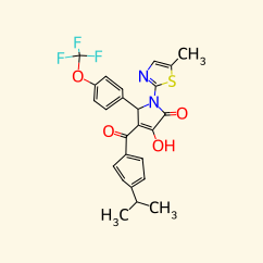 Cc1cnc(N2C(=O)C(O)=C(C(=O)c3ccc(C(C)C)cc3)C2c2ccc(OC(F)(F)F)cc2)s1